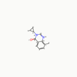 Cc1cccc2c(=O)n(C3CC3)cnc12